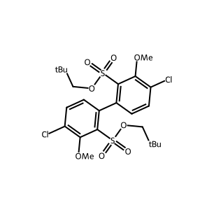 COc1c(Cl)ccc(-c2ccc(Cl)c(OC)c2S(=O)(=O)OCC(C)(C)C)c1S(=O)(=O)OCC(C)(C)C